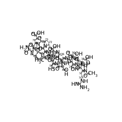 CC(=O)N[C@@H](CCCNC(=N)N)C(=O)N[C@@H](CC(=O)O)C(=O)N[C@@H](CO)C(=O)N[C@@H](CO)C(=O)N[C@@H](CC(N)=O)C(=O)N[C@@H](CO)C(=O)N[C@@H](CS)C(=O)N[C@@H](CC(=O)O)C(=O)N[C@@H](CC(C)C)C(=O)N1CCC[C@H]1C(=O)N[C@@H](CCC(=O)O)C(=O)N[C@@H](Cc1ccccc1)C(N)=O